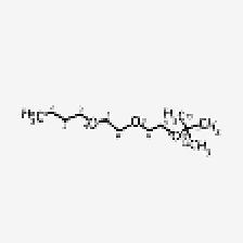 CCCCOCCOCCOC(C)(C)C